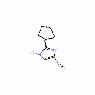 CCn1cc(C(F)(F)F)nc1C1CCCC1